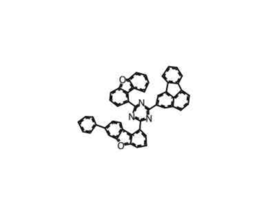 c1ccc(-c2ccc3c(c2)oc2cccc(-c4nc(-c5cc6c7c(cccc7c5)-c5ccccc5-6)nc(-c5cccc6oc7ccccc7c56)n4)c23)cc1